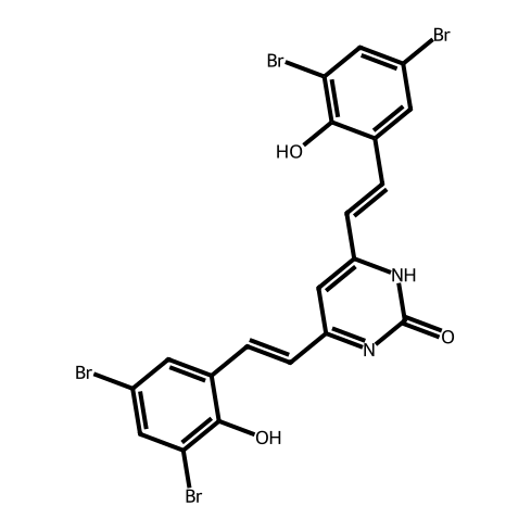 O=c1nc(C=Cc2cc(Br)cc(Br)c2O)cc(C=Cc2cc(Br)cc(Br)c2O)[nH]1